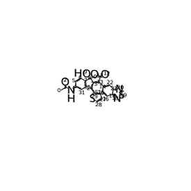 CC(=O)Nc1ccc(C2(O)OC(=O)C(c3ccc4nsnc4c3)=C2Cc2cccs2)cc1